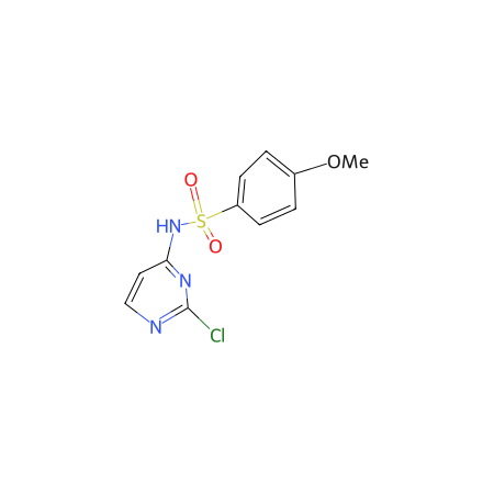 COc1ccc(S(=O)(=O)Nc2ccnc(Cl)n2)cc1